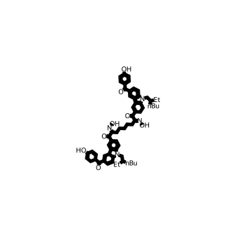 CCCCC(CC)CN1c2ccc(C(=O)/C(CCCCC/C(=N\O)C(=O)C3=Cc4c(n(CC(CC)CCCC)c5ccc(C(=O)c6ccc(O)cc6)cc45)CC3)=N/O)cc2C2C=C(C(=O)C3C=CC(O)=CC3)C=CC21